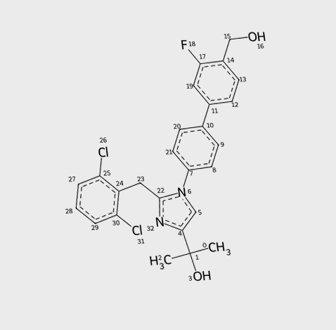 CC(C)(O)c1cn(-c2ccc(-c3ccc(CO)c(F)c3)cc2)c(Cc2c(Cl)cccc2Cl)n1